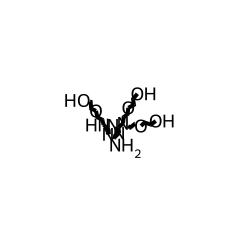 Nc1nc(NCCOCCO)nc(N(CCOCCO)CCOCCO)n1